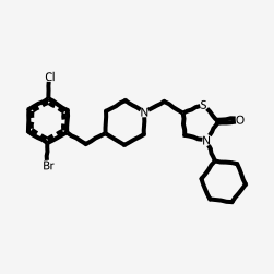 O=C1SC(CN2CCC(Cc3cc(Cl)ccc3Br)CC2)CN1C1CCCCC1